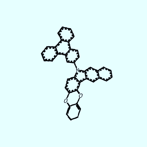 C1=C2Oc3ccc4c(c3OC2=CCC1)c1cc2ccccc2cc1n4-c1ccc2c3ccccc3c3ccccc3c2c1